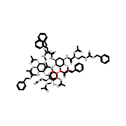 CC(=O)OC[C@H]1O[C@@H](O[C@@H]2[C@@H](OC(C)=O)[C@H](NC(=O)[C@H](CCNC(=O)OCc3ccccc3)OC(C)=O)C[C@H](NC(=O)OCc3ccccc3)[C@H]2O[C@H]2O[C@H](CN=[N+]=[N-])[C@@H](O)[C@H](OC(C)=O)[C@H]2NC(=O)OCc2ccccc2)[C@H](OC(C)=O)[C@@H]1O[C@H]1O[C@@H](CNC(=O)OCc2ccccc2)[C@@H](OC(C)=O)[C@H](OC(C)=O)[C@H]1NC(=O)OCc1ccccc1